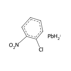 O=[N+]([O-])c1ccccc1Cl.[PbH2]